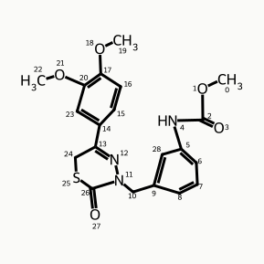 COC(=O)Nc1cccc(CN2N=C(c3ccc(OC)c(OC)c3)CSC2=O)c1